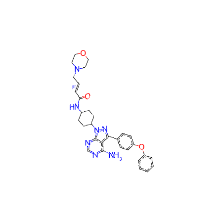 Nc1ncnc2c1c(-c1ccc(Oc3ccccc3)cc1)nn2C1CCC(NC(=O)/C=C/CN2CCOCC2)CC1